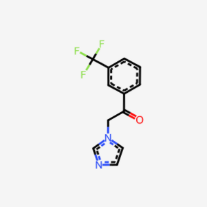 O=C(Cn1ccnc1)c1cccc(C(F)(F)F)c1